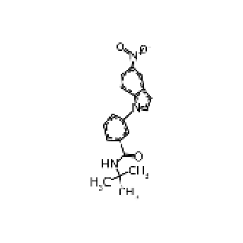 CC(C)(C)NC(=O)c1cccc(-n2ccc3cc([N+](=O)[O-])ccc32)c1